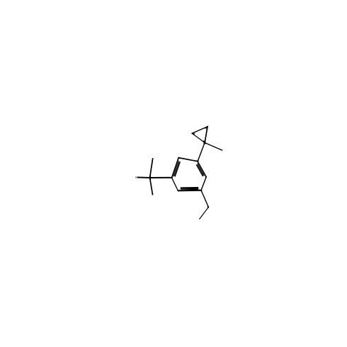 CCc1cc(C(C)(C)O)cc(C2(C)CC2)c1